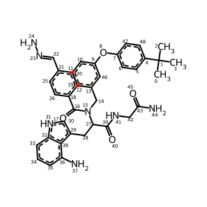 CC(C)(C)c1ccc(Oc2cccc(CN(C(=O)c3ccc(C=NN)cc3)C(Cc3c[nH]c4cccc(N)c34)C(=O)NCC(N)=O)c2)cc1